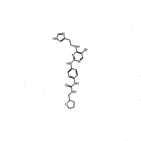 O=C(NCC1CCCO1)Nc1ccc(Nc2ncc(Br)c(NCCc3c[nH]cn3)n2)cc1